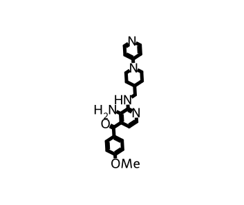 COc1ccc(C(=O)c2ccnc(NCC3CCN(c4ccncc4)CC3)c2N)cc1